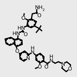 COc1cc(Nc2cc(Oc3ccc(NC(=O)Nc4cc(C(C)(C)C)cc(CC(N)=O)c4OC)c4ccccc34)ccn2)ccc1C(=O)NCCN1CCOCC1